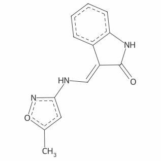 Cc1cc(N/C=C2/C(=O)Nc3ccccc32)no1